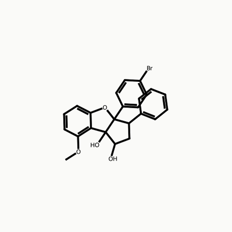 COc1cccc2c1C1(O)C(O)CC(c3ccccc3)C1(c1ccc(Br)cc1)O2